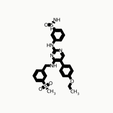 CCOc1ccc(-c2cnc(Nc3cccc([SH](=N)=O)c3)nc2NCc2cccc(S(C)(=O)=O)c2)cc1